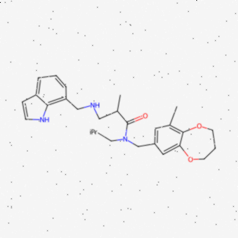 Cc1cc(CN(CC(C)C)C(=O)C(C)CNCc2cccc3cc[nH]c23)cc2c1OCCCO2